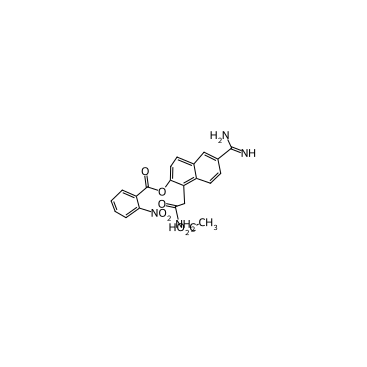 CC(=O)O.N=C(N)c1ccc2c(CC(N)=O)c(OC(=O)c3ccccc3[N+](=O)[O-])ccc2c1